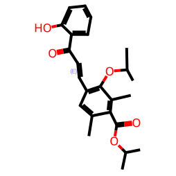 Cc1cc(/C=C/C(=O)c2ccccc2O)c(OC(C)C)c(C)c1C(=O)OC(C)C